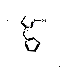 CC=C(/C=N/O)Cc1ccccc1